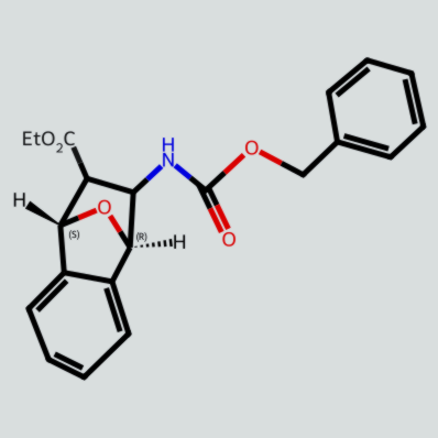 CCOC(=O)C1C(NC(=O)OCc2ccccc2)[C@@H]2O[C@@H]1c1ccccc12